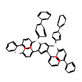 CCCCOc1ccc(-c2cc(-c3ccccc3)c(N(c3ccc(-c4ccccc4)cc3)c3ccc(-c4ccccc4)cc3)cc2N(c2ccc(-c3ccccc3)cc2)c2ccc(-c3ccccc3)cc2)cc1